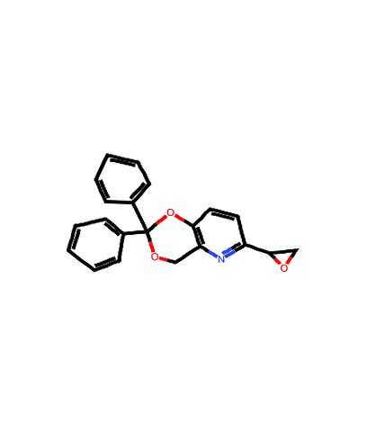 c1ccc(C2(c3ccccc3)OCc3nc(C4CO4)ccc3O2)cc1